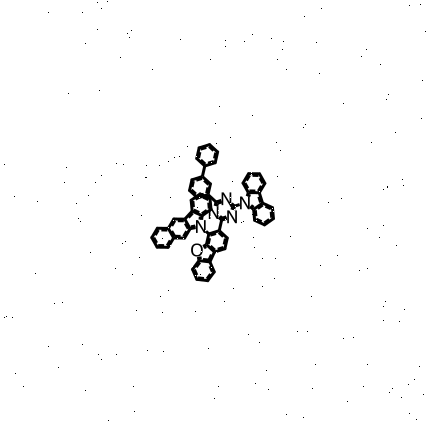 c1ccc(-c2cccc(-c3nc(-c4ccc5c(oc6ccccc65)c4-n4c5ccccc5c5cc6ccccc6cc54)nc(-n4c5ccccc5c5ccccc54)n3)c2)cc1